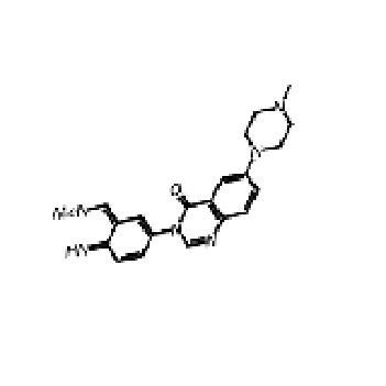 CN/C=C1/C=C(n2cnc3ccc(N4CCN(C)CC4)cc3c2=O)C=CC1=N